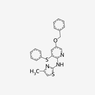 Cc1csc(Nc2ncc(OCc3ccccc3)cc2Sc2ccccc2)n1